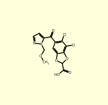 COCn1nccc1C(=O)c1cc2c(c(Cl)c1Cl)OC(C(=O)O)O2